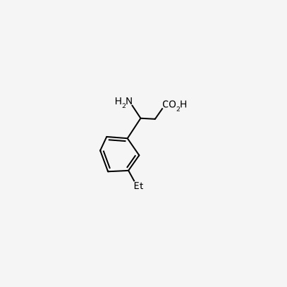 CCc1cccc(C(N)CC(=O)O)c1